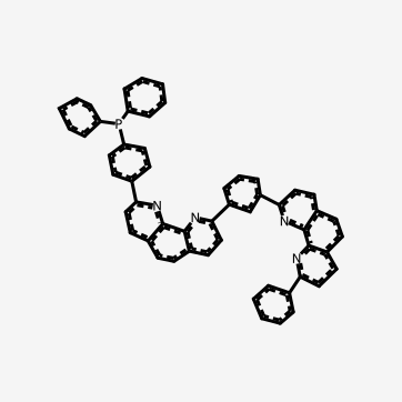 c1ccc(-c2ccc3ccc4ccc(-c5cccc(-c6ccc7ccc8ccc(-c9ccc(P(c%10ccccc%10)c%10ccccc%10)cc9)nc8c7n6)c5)nc4c3n2)cc1